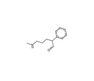 CNCCCC(C=O)c1ccccc1